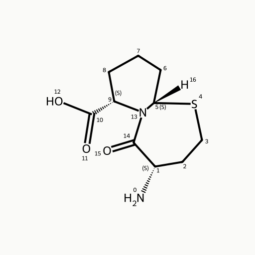 N[C@H]1CCS[C@H]2CCC[C@@H](C(=O)O)N2C1=O